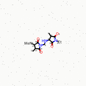 CCN1C(=O)C(C)C(NCN2C(=O)C(C)C(NC)C2=O)C1=O